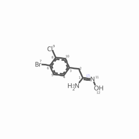 N/C(Cc1ccc(Br)c(Cl)c1)=N\O